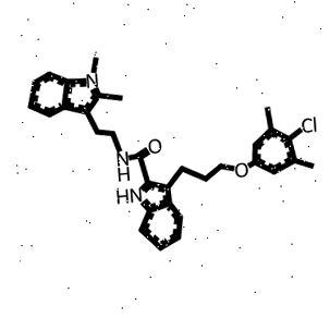 Cc1cc(OCCCc2c(C(=O)NCCc3c(C)n(C)c4ccccc34)[nH]c3ccccc23)cc(C)c1Cl